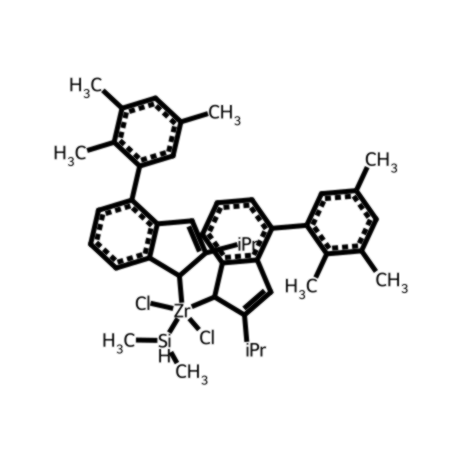 Cc1cc(C)c(C)c(-c2cccc3c2C=C(C(C)C)[CH]3[Zr]([Cl])([Cl])([CH]2C(C(C)C)=Cc3c(-c4cc(C)cc(C)c4C)cccc32)[SiH](C)C)c1